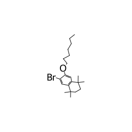 CCCCCCCOc1cc2c(cc1Br)C(C)(C)CCC2(C)C